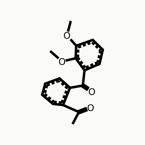 COc1cccc(C(=O)c2ccccc2C(C)=O)c1OC